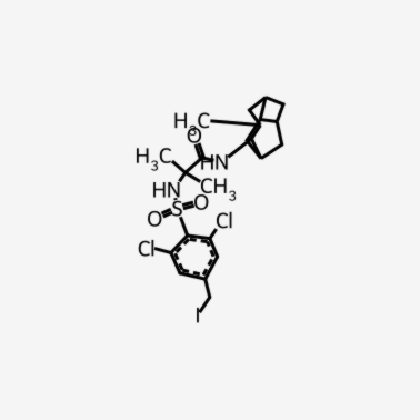 CC1CC2CC3CC(CC23)C1NC(=O)C(C)(C)NS(=O)(=O)c1c(Cl)cc(CI)cc1Cl